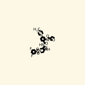 CN1CCN(c2ccc(C(=O)Nc3n[nH]c4c3CN(S(=O)(=O)c3cc(F)cc(F)c3)CC4)c(NC(=O)C3CCOC3)c2)CC1